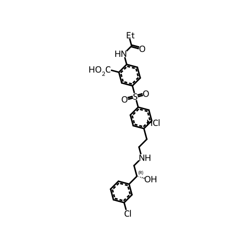 CCC(=O)Nc1ccc(S(=O)(=O)c2ccc(CCNC[C@H](O)c3cccc(Cl)c3)cc2)cc1C(=O)O.Cl